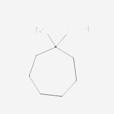 N#CC1(C(=O)O)CCCCCC1